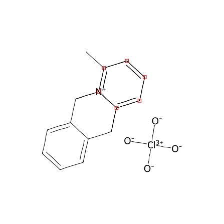 Cc1cccc2c1C1c3ccccc3C2c2cccc[n+]21.[O-][Cl+3]([O-])([O-])[O-]